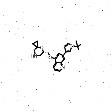 CC(C)(C)n1ccc(-c2cc(OC[C@@H]3CNCC4(CC4)O3)c3cccnc3c2)c1